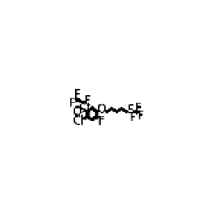 [O-][S+](c1cc(OCCCCCSC(F)(F)F)c(F)cc1Cl)C(F)C(F)F